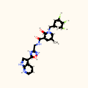 Cc1cc(C(=O)NCc2noc(-c3c[nH]c4ncccc34)n2)c(=O)n(Cc2cc(F)c(F)c(F)c2)c1